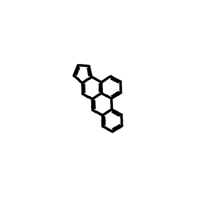 C1=Cc2cc3cc4ccccc4c4cccc(c2=C1)c34